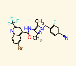 Cc1nn(Cc2ccc(C#N)cc2F)c(C)c1NC(=O)c1cc(C(F)(F)F)nc2ccc(Br)cc12